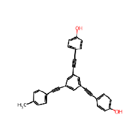 Cc1ccc(C#Cc2cc(C#Cc3ccc(O)cc3)cc(C#Cc3ccc(O)cc3)c2)cc1